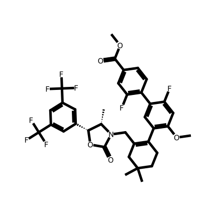 COC(=O)c1ccc(-c2cc(C3=C(CN4C(=O)O[C@H](c5cc(C(F)(F)F)cc(C(F)(F)F)c5)[C@@H]4C)CC(C)(C)CC3)c(OC)cc2F)c(F)c1